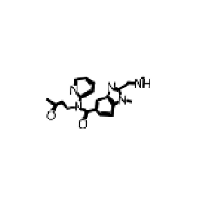 CNCc1nc2cc(C(=O)N(CCC(C)=O)c3ccccn3)ccc2n1C